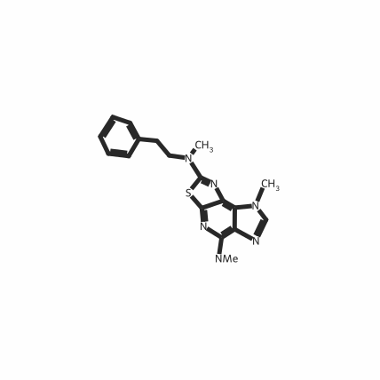 CNc1nc2sc(N(C)CCc3ccccc3)nc2c2c1ncn2C